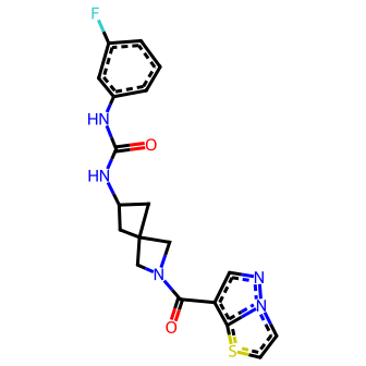 O=C(Nc1cccc(F)c1)NC1CC2(C1)CN(C(=O)c1cnn3ccsc13)C2